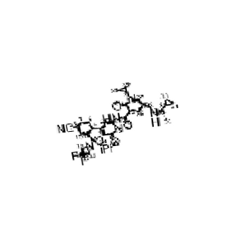 CC(C)Oc1cc(-c2ccc(C#N)cc2C(=O)N2CC(F)(F)C2)cc(NC(=O)c2cc(CN[C@@H](C)C3CC3)cn(C3CC3)c2=O)n1